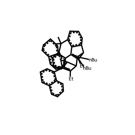 CCC[CH2][Ti]1([CH2]CCC)[CH]2C(CC)=C(c3cccc4ccccc34)c3c2cccc3C(C)(C)c2cccc3c2C(c2cccc4ccccc24)=C(CC)[CH]31